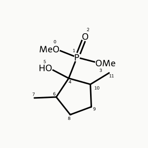 COP(=O)(OC)C1(O)C(C)CCC1C